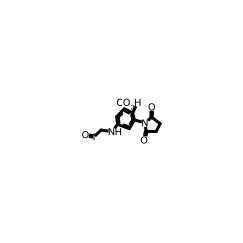 O=ICNc1ccc(C(=O)O)c(N2C(=O)CCC2=O)c1